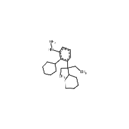 CCC(CC)(c1cccc(NN)c1C1CCCCC1)C1CCCCC1